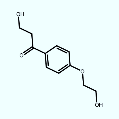 O=C(CCO)c1ccc(OCCO)cc1